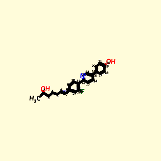 CC(O)CCC/C=C/c1ccc(-c2ccc(-c3ccc(O)cc3)cn2)c(F)c1